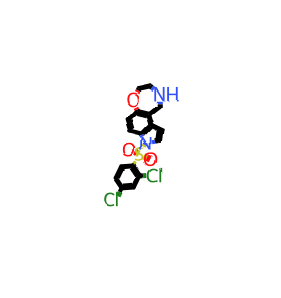 O=S(=O)(c1ccc(Cl)cc1Cl)n1ccc2c3c(ccc21)OCCNC3